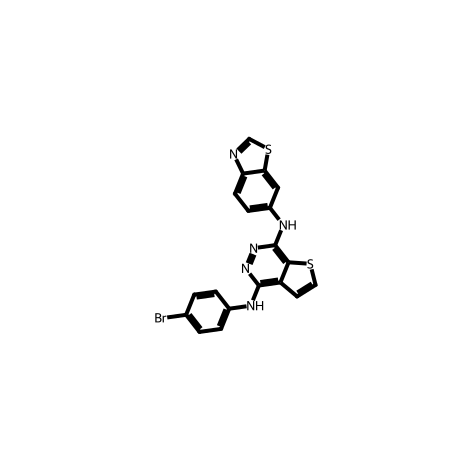 Brc1ccc(Nc2nnc(Nc3ccc4ncsc4c3)c3sccc23)cc1